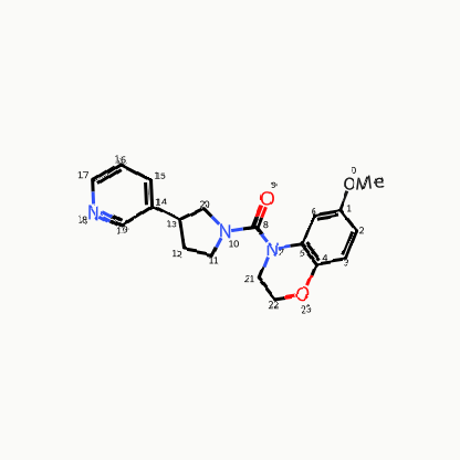 COc1ccc2c(c1)N(C(=O)N1CCC(c3cccnc3)C1)CCO2